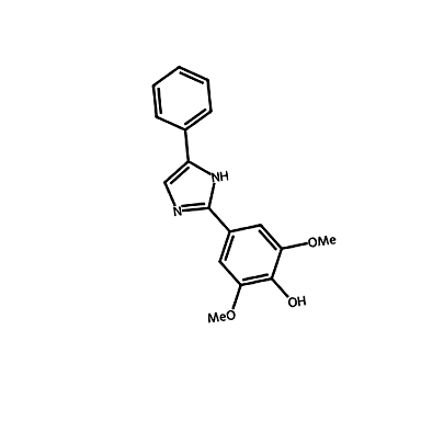 COc1cc(-c2ncc(-c3ccccc3)[nH]2)cc(OC)c1O